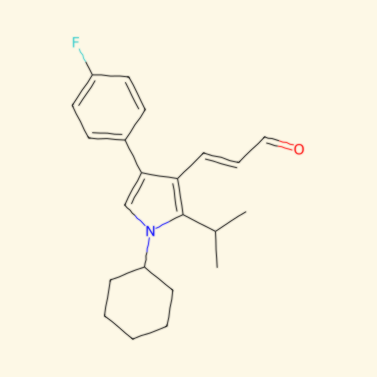 CC(C)c1c(/C=C/C=O)c(-c2ccc(F)cc2)cn1C1CCCCC1